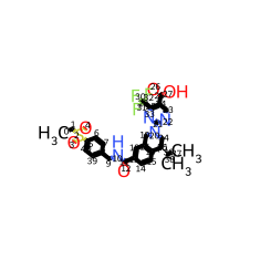 CCS(=O)(=O)c1ccc(CNC(=O)c2ccc3c(c2)CN(c2ncc(C(=O)O)c(C(F)(F)F)n2)C[C@@H]3C(C)C)cc1